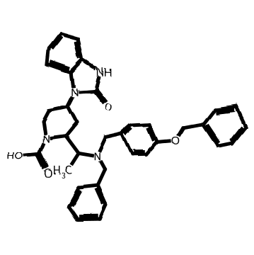 CC(C1CC(n2c(=O)[nH]c3ccccc32)CCN1C(=O)O)N(Cc1ccccc1)Cc1ccc(OCc2ccccc2)cc1